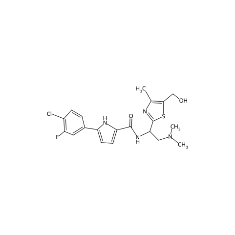 Cc1nc(C(CN(C)C)NC(=O)c2ccc(-c3ccc(Cl)c(F)c3)[nH]2)sc1CO